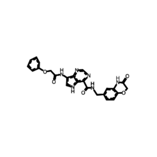 O=C1COc2ccc(CNC(=O)c3ncnc4c(NC(=O)COc5ccccc5)c[nH]c34)cc2N1